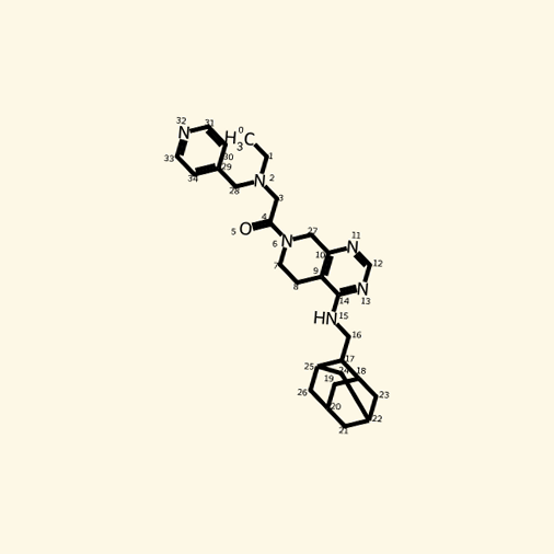 CCN(CC(=O)N1CCc2c(ncnc2NCC2C3CC4CC(C3)CC2C4)C1)Cc1ccncc1